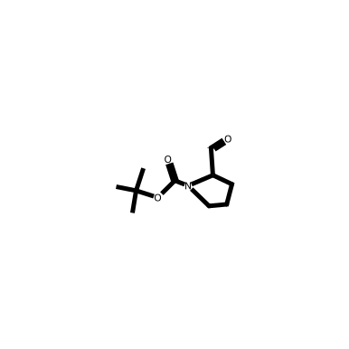 CC(C)(C)OC(=O)N1CCCC1[C]=O